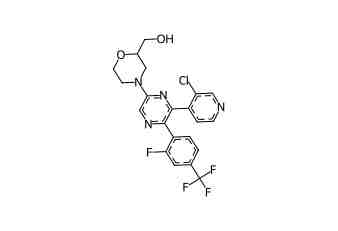 OCC1CN(c2cnc(-c3ccc(C(F)(F)F)cc3F)c(-c3ccncc3Cl)n2)CCO1